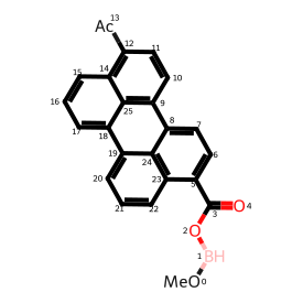 COBOC(=O)c1ccc2c3ccc(C(C)=O)c4cccc(c5cccc1c52)c43